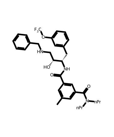 CCCN(CCC)C(=O)c1cc(C)cc(C(=O)N[C@@H](Cc2cccc(OC(F)(F)F)c2)[C@H](O)CNCc2ccccc2)c1